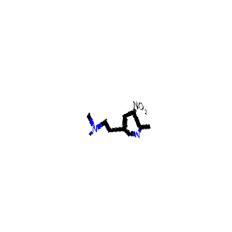 Cc1ncc(CCN(C)C)cc1[N+](=O)[O-]